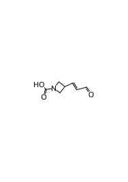 O=C/C=C/C1CN(C(=O)O)C1